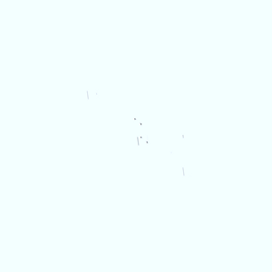 CCCNNC(C)=O